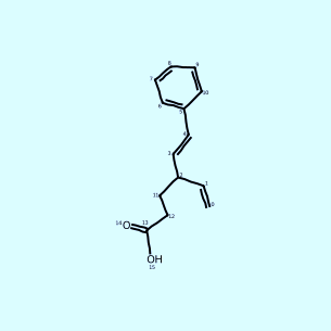 C=CC(C=Cc1ccccc1)CCC(=O)O